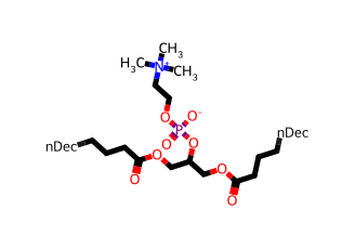 CCCCCCCCCCCCCC(=O)OCC(COC(=O)CCCCCCCCCCCCC)OP(=O)([O-])OCC[N+](C)(C)C